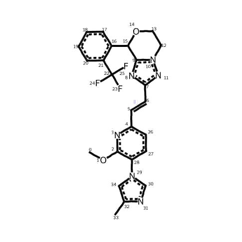 COc1nc(/C=C/c2nc3n(n2)CCOC3c2ccccc2C(F)(F)F)ccc1-n1cnc(C)c1